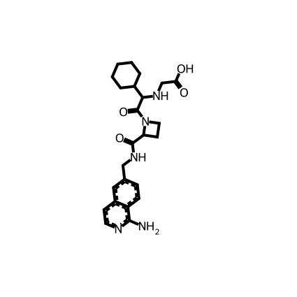 Nc1nccc2cc(CNC(=O)C3CCN3C(=O)C(NCC(=O)O)C3CCCCC3)ccc12